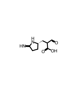 N=C1CC[C@@H](CC(C=O)C(=O)O)N1